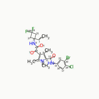 C=CC1(NC(=O)C(=O)c2c(C)c(C(=O)Nc3ccc(Cl)c(Br)c3)n(C)c2C)CC(F)(F)C1